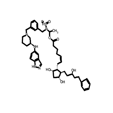 CC(OC(=O)CCC/C=C\C[C@@H]1[C@@H](CC[C@@H](O)CCc2ccccc2)[C@H](O)C[C@@H]1O)N(Cc1cccc(CN2CCC[C@H](Nc3ccc4[nH]ncc4c3)C2)c1)[SH](=O)=O